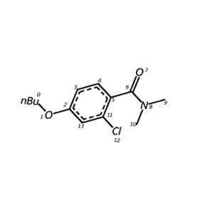 CCCCOc1ccc(C(=O)N(C)C)c(Cl)c1